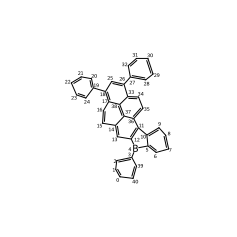 c1ccc(B2c3ccccc3-c3c2cc2ccc4c(-c5ccccc5)cc(-c5ccccc5)c5ccc3c2c45)cc1